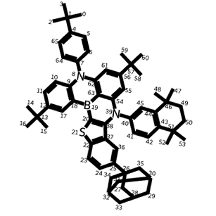 CC(C)(C)c1ccc(N2c3ccc(C(C)(C)C)cc3B3c4sc5ccc(C67CC8CC(CC(C8)C6)C7)cc5c4N(c4ccc5c(c4)C(C)(C)CCC5(C)C)c4cc(C(C)(C)C)cc2c43)cc1